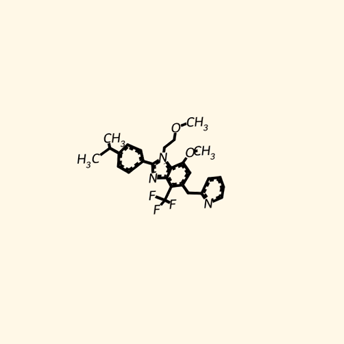 COCCn1c(-c2ccc(C(C)C)cc2)nc2c(C(F)(F)F)c(Cc3ccccn3)cc(OC)c21